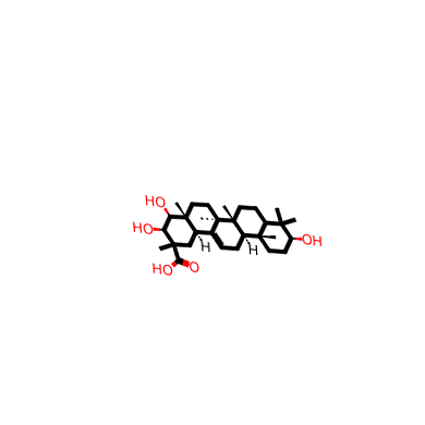 CC1(C(=O)O)C[C@@H]2C3=CC[C@@H]4[C@@]5(C)CC[C@H](O)C(C)(C)C5CC[C@@]4(C)[C@]3(C)CC[C@@]2(C)[C@H](O)[C@@H]1O